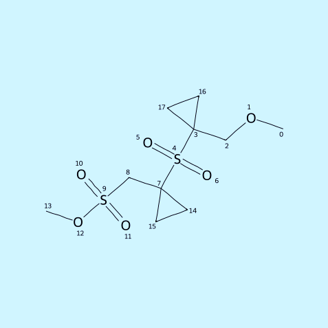 COCC1(S(=O)(=O)C2(CS(=O)(=O)OC)CC2)CC1